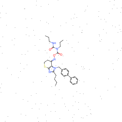 CCCCc1nc2c(n1Cc1ccc(-c3ccccc3)cc1)C(=NOC(=O)N(CCC)C(=O)NCCC)CCS2